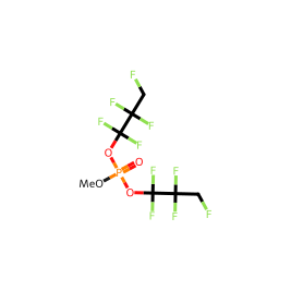 COP(=O)(OC(F)(F)C(F)(F)CF)OC(F)(F)C(F)(F)CF